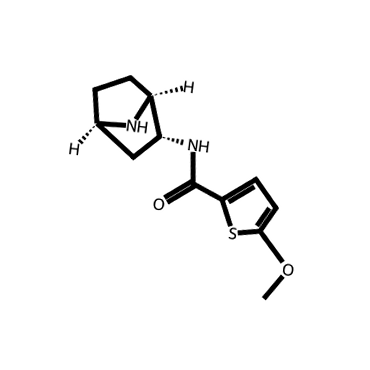 COc1ccc(C(=O)N[C@@H]2C[C@H]3CC[C@@H]2N3)s1